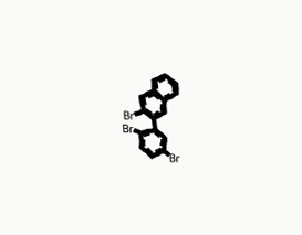 Brc1ccc(Br)c(-c2cc3ccccc3cc2Br)c1